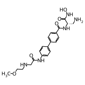 COCCNCC(=O)Nc1ccc(-c2ccc(C(=O)N[C@@H](CN)C(=O)NO)cc2)cc1